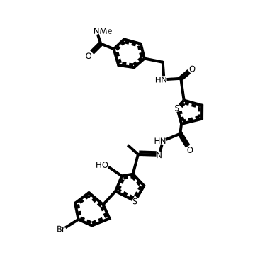 CNC(=O)c1ccc(CNC(=O)c2ccc(C(=O)N/N=C(\C)c3csc(-c4ccc(Br)cc4)c3O)s2)cc1